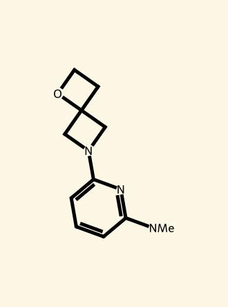 CNc1cccc(N2CC3(CCO3)C2)n1